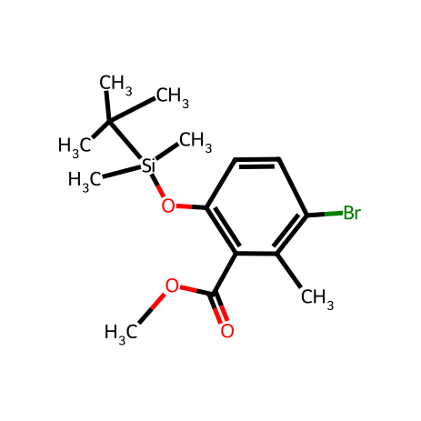 COC(=O)c1c(O[Si](C)(C)C(C)(C)C)ccc(Br)c1C